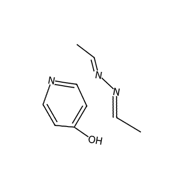 CC=NN=CC.Oc1ccncc1